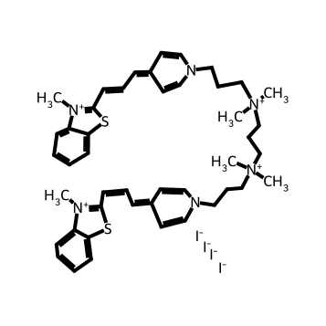 C[n+]1c(C=CC=C2C=CN(CCC[N+](C)(C)CCC[N+](C)(C)CCCN3C=CC(=CC=Cc4sc5ccccc5[n+]4C)C=C3)C=C2)sc2ccccc21.[I-].[I-].[I-].[I-]